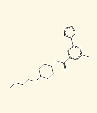 COCCO[C@H]1CC[C@H](NC(=O)c2cc(C)nc(-c3cncs3)c2)CC1